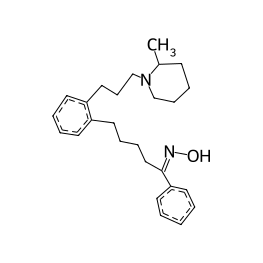 CC1CCCCN1CCCc1ccccc1CCCCC(=NO)c1ccccc1